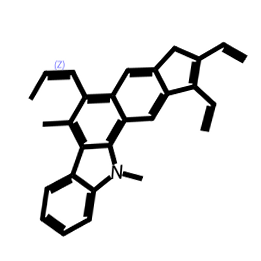 C=CC1=C(C=C)c2cc3c(cc2C1)c(/C=C\C)c(C)c1c2ccccc2n(C)c31